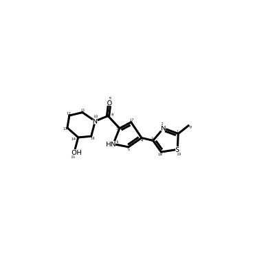 Cc1nc(-c2c[nH]c(C(=O)N3CCCC(O)C3)c2)cs1